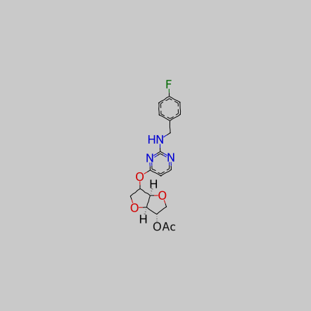 CC(=O)O[C@H]1CO[C@@H]2C(Oc3ccnc(NCc4ccc(F)cc4)n3)CO[C@H]12